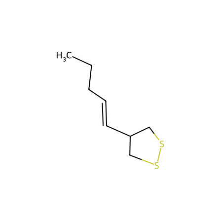 CCC/C=C/C1CSSC1